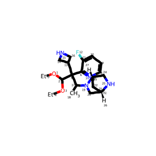 CCOC(OCC)C(c1ncccc1F)(C1CNC1)C(C)N1C[C@@H]2C[C@H]1CN2